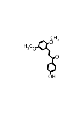 COc1ccc(OC)c(/C=C/C(=O)c2ccc(O)cc2)c1